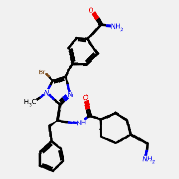 Cn1c([C@H](Cc2ccccc2)NC(=O)C2CCC(CN)CC2)nc(-c2ccc(C(N)=O)cc2)c1Br